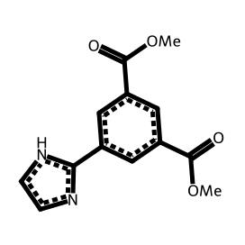 COC(=O)c1cc(C(=O)OC)cc(-c2ncc[nH]2)c1